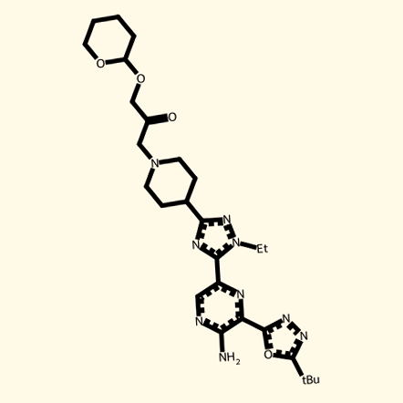 CCn1nc(C2CCN(CC(=O)COC3CCCCO3)CC2)nc1-c1cnc(N)c(-c2nnc(C(C)(C)C)o2)n1